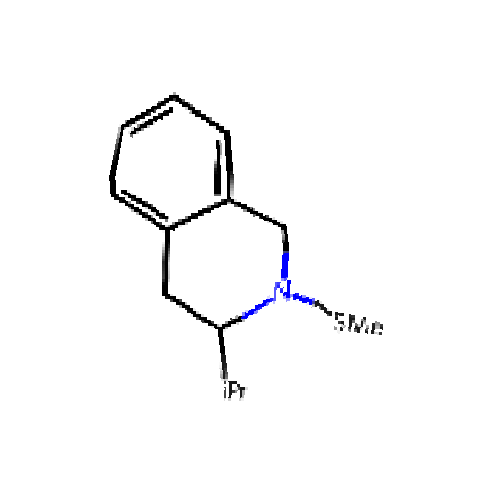 CSN1Cc2ccccc2CC1C(C)C